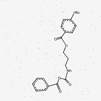 CCCCc1ccc(C(=O)OCCCNC(=O)OC(=O)c2ccccc2)cc1